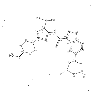 C[C@@H]1CN(c2ccn3ncc(C(=O)Nc4cn([C@H]5CC[C@H](CO)CC5)nc4C(F)F)c3n2)C[C@H](C)O1